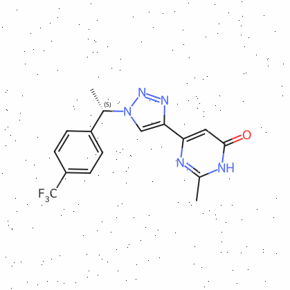 Cc1nc(-c2cn([C@@H](C)c3ccc(C(F)(F)F)cc3)nn2)cc(=O)[nH]1